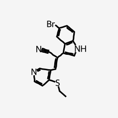 CCSc1ccncc1C=C(C#N)c1c[nH]c2ccc(Br)cc12